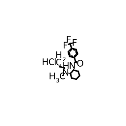 C=CCN(C)[C@@H]1CCCC[C@H]1NC(=O)c1ccc(C(F)(F)F)cc1.Cl